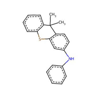 CC1(C)c2ccccc2Sc2cc(Nc3ccccc3)ccc21